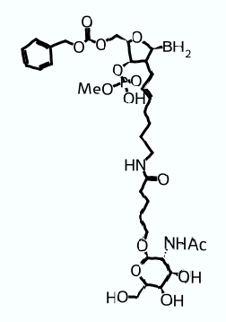 B[C@@H]1O[C@H](COC(=O)OCc2ccccc2)[C@H](OP(=O)(O)OC)C1C/C=C/CCCCNC(=O)CCCCO[C@@H]1O[C@H](CO)[C@H](O)[C@H](O)[C@H]1NC(C)=O